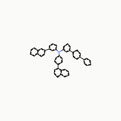 c1ccc(-c2ccc(-c3cccc(N(c4ccc(-c5cccc6ccccc56)cc4)c4cccc(-c5ccc6ccccc6c5)c4)c3)cc2)cc1